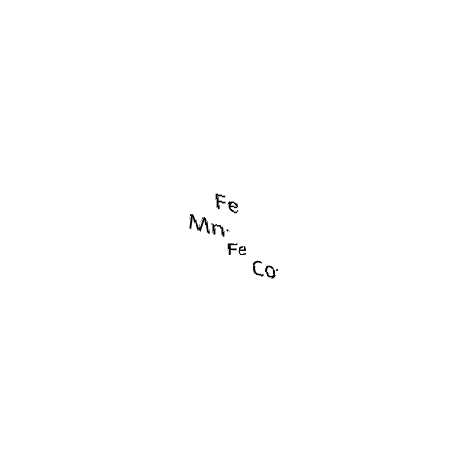 [Co].[Fe].[Fe].[Mn]